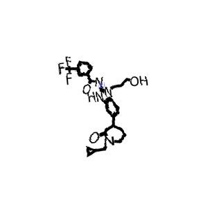 O=C(/N=c1\[nH]c2cc(C3CCCN(CC4CC4)C(=O)C3)ccc2n1CCCO)c1cccc(C(F)(F)F)c1